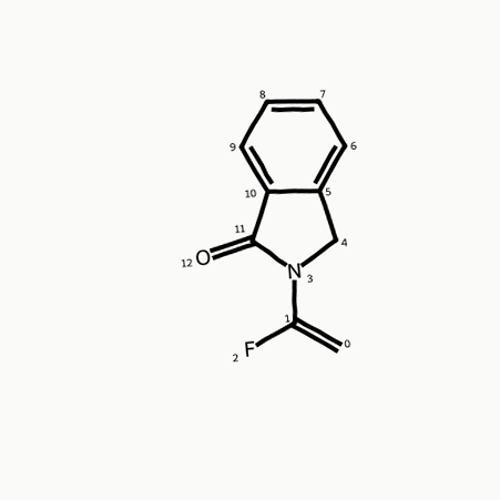 C=C(F)N1Cc2ccccc2C1=O